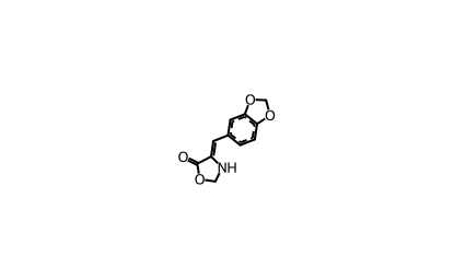 O=C1OCN/C1=C\c1ccc2c(c1)OCO2